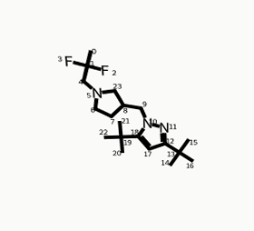 CC(F)(F)CN1CCC(Cn2nc(C(C)(C)C)cc2C(C)(C)C)C1